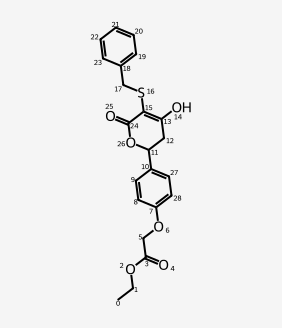 CCOC(=O)COc1ccc(C2CC(O)=C(SCc3ccccc3)C(=O)O2)cc1